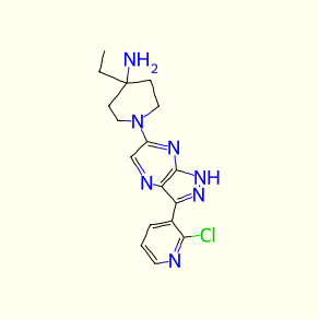 CCC1(N)CCN(c2cnc3c(-c4cccnc4Cl)n[nH]c3n2)CC1